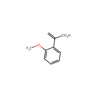 C=C(C(=O)O)c1ccccc1OC(F)(F)F